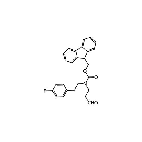 O=CCCN(CCc1ccc(F)cc1)C(=O)OCC1c2ccccc2-c2ccccc21